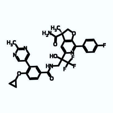 Cc1ncc(-c2cc(C(=O)NCC(O)(c3cc4c(c(-c5ccc(F)cc5)n3)OC[C@]4(C)C(N)=O)C(F)(F)F)ccc2OC2CC2)cn1